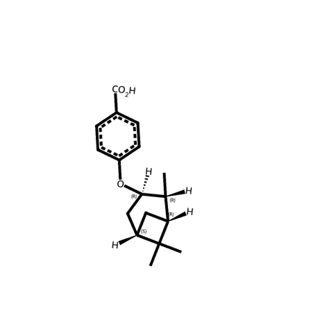 C[C@@H]1[C@H]2C[C@@H](C[C@H]1Oc1ccc(C(=O)O)cc1)C2(C)C